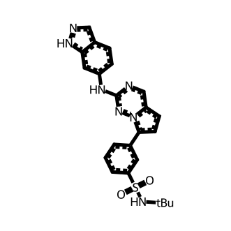 CC(C)(C)NS(=O)(=O)c1cccc(-c2ccc3cnc(Nc4ccc5cn[nH]c5c4)nn23)c1